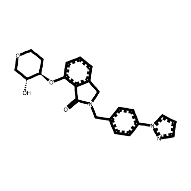 O=C1c2c(cccc2O[C@@H]2CCOC[C@H]2O)CN1Cc1ccc(-n2cccn2)cc1